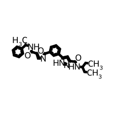 CCC(CC)NC(=O)c1cc(-c2cccc(-c3ncc(C(=O)N[C@@H](C)c4ccccc4)o3)c2)[nH]n1